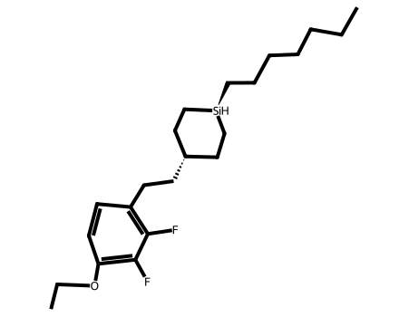 CCCCCCC[Si@H]1CC[C@H](CCc2ccc(OCC)c(F)c2F)CC1